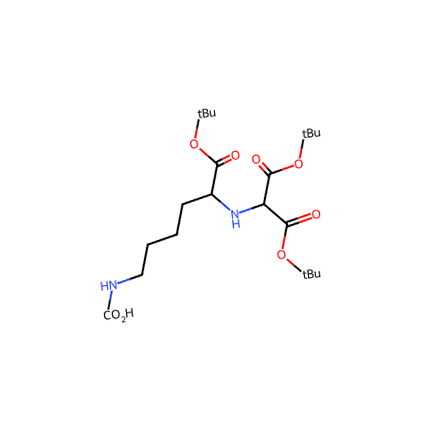 CC(C)(C)OC(=O)C(CCCCNC(=O)O)NC(C(=O)OC(C)(C)C)C(=O)OC(C)(C)C